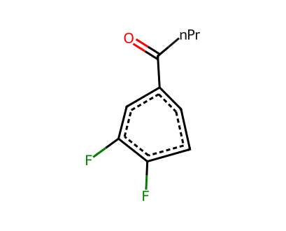 CCCC(=O)c1ccc(F)c(F)c1